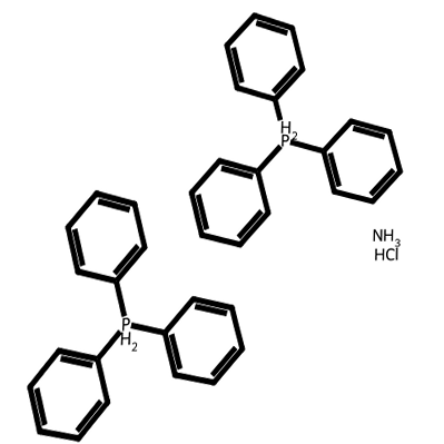 Cl.N.c1ccc([PH2](c2ccccc2)c2ccccc2)cc1.c1ccc([PH2](c2ccccc2)c2ccccc2)cc1